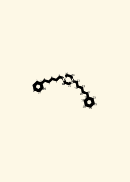 c1ccc(CCCCCN2CCN(CCCCCc3ccccc3)CC2)cc1